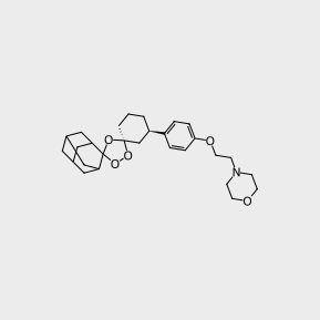 c1cc([C@@H]2CCC[C@]3(C2)OOC2(O3)C3CC4CC(C3)CC2C4)ccc1OCCN1CCOCC1